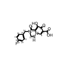 O=C(O)c1cn2c(c(O)c1=O)C(=O)N(Cc1ccc(F)cc1)CN2